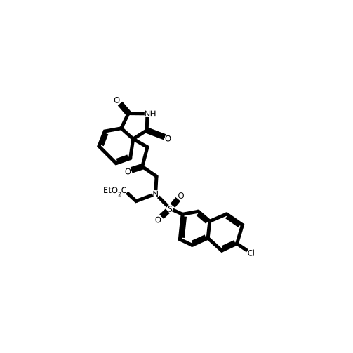 CCOC(=O)CN(CC(=O)CC12C=CC=CC1C(=O)NC2=O)S(=O)(=O)c1ccc2cc(Cl)ccc2c1